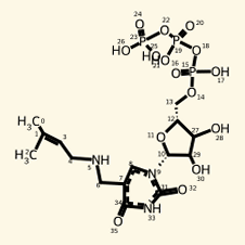 CC(C)=CCNCc1cn([C@@H]2O[C@H](COP(=O)(O)OP(=O)(O)OP(=O)(O)O)C(O)C2O)c(=O)[nH]c1=O